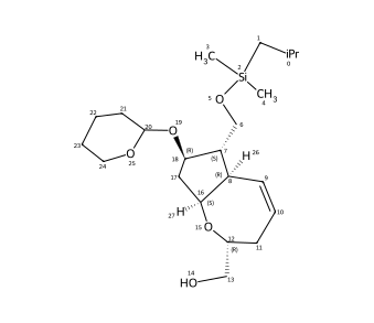 CC(C)C[Si](C)(C)OC[C@@H]1[C@H]2C=CC[C@H](CO)O[C@H]2C[C@H]1OC1CCCCO1